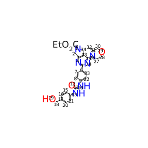 CCOC(=O)N1Cc2nc(-c3ccc(NC(=O)Nc4ccc(CO)cc4)cc3)nc(N3CCOC[C@@H]3C)c2C1